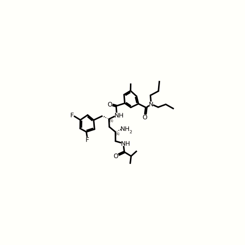 CCCN(CCC)C(=O)c1cc(C)cc(C(=O)N[C@@H](Cc2cc(F)cc(F)c2)C[C@H](N)CNC(=O)C(C)C)c1